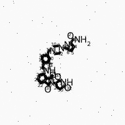 NC(=O)c1cccc(N2CCN(Cc3ccc(CNc4cccc5c4C(=O)N(C4CCC(=O)NC4=O)C5=O)c(F)c3)CC2)n1